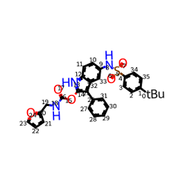 CC(C)(C)c1ccc(S(=O)(=O)Nc2ccc3[nH]c(OC(=O)NCc4ccco4)c(-c4ccccc4)c3c2)cc1